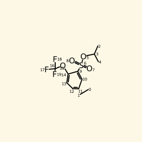 CC.CC(C)OS(=O)(=O)c1ccccc1OC(F)(F)F